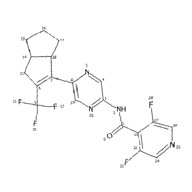 O=C(Nc1cnc(C2=C(C(F)(F)F)CC3CCCC23)cn1)c1c(F)cncc1F